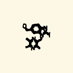 Cc1nc(C)c(Cn2c(I)nc3ccc(C=O)cc32)nc1C